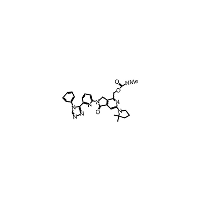 CNC(=O)OCc1nc(N2CCCC2(C)C)cc2c1CN(c1cccc(-c3nncn3-c3ccccc3)n1)C2=O